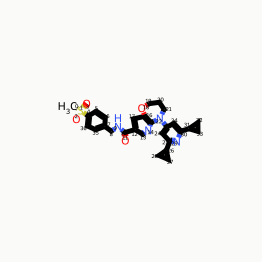 CS(=O)(=O)c1ccc(CNC(=O)c2cnc3c(c2)OCCCN3c2cc(C3CC3)nc(C3CC3)c2)cc1